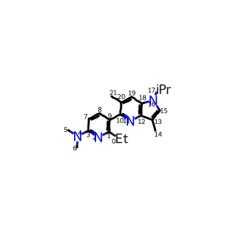 CCc1nc(N(C)C)ccc1-c1nc2c(C)cn(C(C)C)c2cc1C